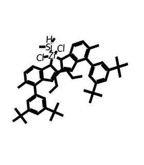 CCCC1=Cc2c(ccc(C)c2-c2cc(C(C)(C)C)cc(C(C)(C)C)c2)[CH]1[Zr]([Cl])([Cl])([CH]1C(CCC)=Cc2c1ccc(C)c2-c1cc(C(C)(C)C)cc(C(C)(C)C)c1)[SiH](C)C